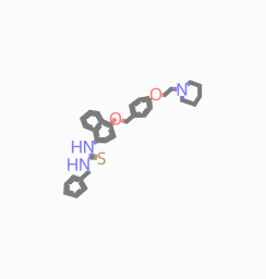 S=C(NCc1ccccc1)Nc1ccc(OCc2ccc(OCCN3CCCCC3)cc2)c2ccccc12